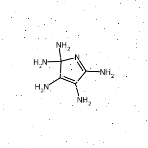 NC1=NC(N)(N)C(N)=C1N